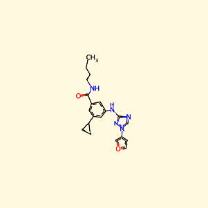 CCCCNC(=O)c1cc(Nc2ncn(-c3ccoc3)n2)cc(C2CC2)c1